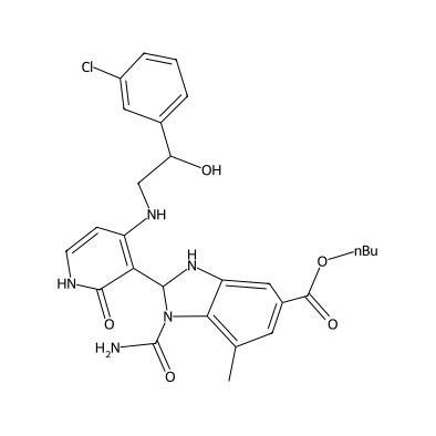 CCCCOC(=O)c1cc(C)c2c(c1)NC(c1c(NCC(O)c3cccc(Cl)c3)cc[nH]c1=O)N2C(N)=O